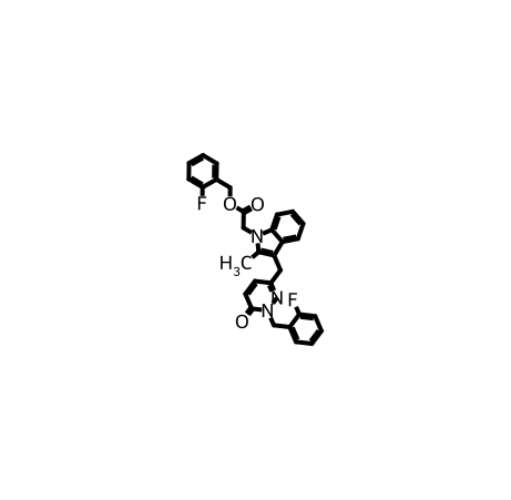 Cc1c(Cc2ccc(=O)n(Cc3ccccc3F)n2)c2ccccc2n1CC(=O)OCc1ccccc1F